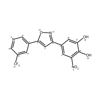 O=[N+]([O-])c1cc(-c2cc(-c3cncc(C(F)(F)F)c3)on2)cc(O)c1O